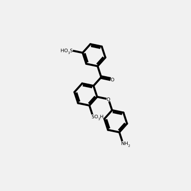 Nc1ccc(Oc2c(C(=O)c3cccc(S(=O)(=O)O)c3)cccc2S(=O)(=O)O)cc1